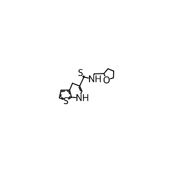 S=C(NCC1CCCO1)C1=CNc2sccc2C1